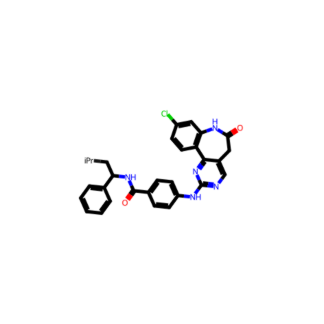 CC(C)CC(NC(=O)c1ccc(Nc2ncc3c(n2)-c2ccc(Cl)cc2NC(=O)C3)cc1)c1ccccc1